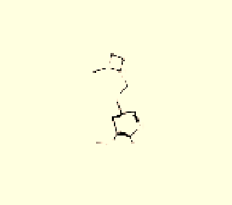 CCOc1cc(OC[C@@H]2CCN2C)cnc1F